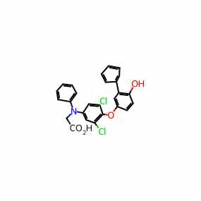 O=C(O)CN(c1ccccc1)c1cc(Cl)c(Oc2ccc(O)c(-c3ccccc3)c2)c(Cl)c1